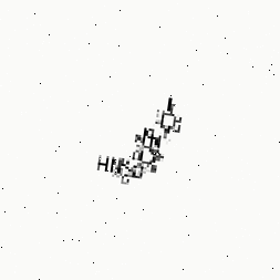 Fc1ccc(Cn2ncc3cc(O[C@H]4CCNC4)ccc32)cc1